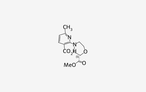 COC(=O)[C@@H]1CN(c2nc(C)ccc2C(=O)O)CCO1